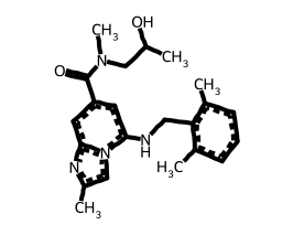 Cc1cn2c(NCc3c(C)cccc3C)cc(C(=O)N(C)CC(C)O)cc2n1